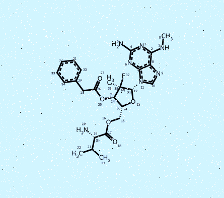 CNc1nc(N)nc2c1ncn2[C@@H]1O[C@H](COC(=O)[C@@H](N)C(C)C)[C@@H](OC(=O)Cc2ccccc2)[C@@]1(C)F